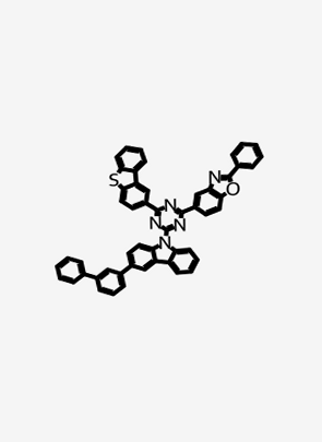 c1ccc(-c2cccc(-c3ccc4c(c3)c3ccccc3n4-c3nc(-c4ccc5oc(-c6ccccc6)nc5c4)nc(-c4ccc5sc6ccccc6c5c4)n3)c2)cc1